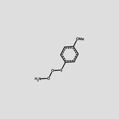 COc1ccc(SOON)cc1